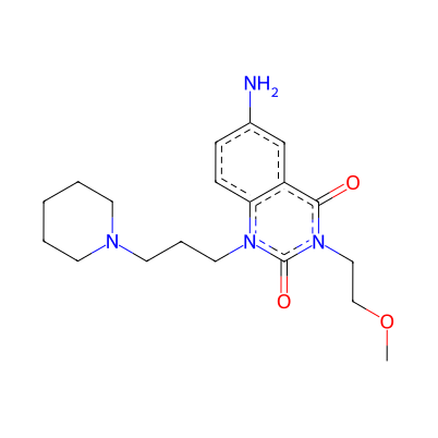 COCCn1c(=O)c2cc(N)ccc2n(CCCN2CCCCC2)c1=O